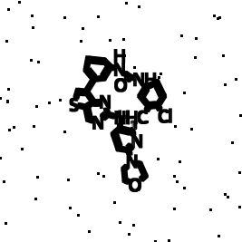 Cc1cc(NC(=O)Nc2cccc(-c3csc4cnc(Nc5ccc(N6CCOCC6)nc5)nc34)c2)ccc1Cl